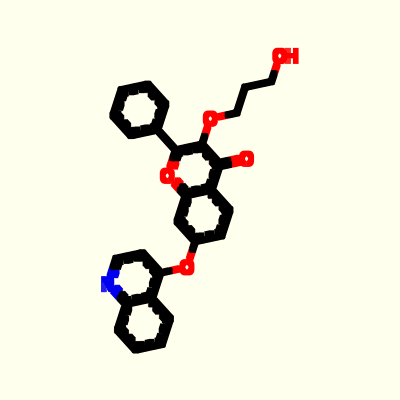 O=c1c(OCCCO)c(-c2ccccc2)oc2cc(Oc3ccnc4ccccc34)ccc12